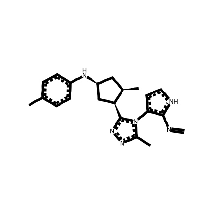 C=Nc1[nH]ccc1-n1c(C)nnc1[C@H]1C[C@@H](Nc2ccc(C)cc2)C[C@H]1C